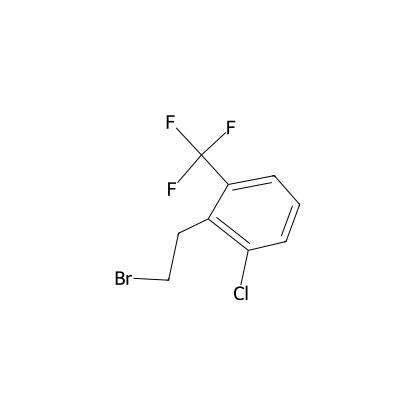 FC(F)(F)c1cccc(Cl)c1CCBr